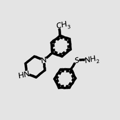 Cc1cccc(N2CCNCC2)c1.NSc1ccccc1